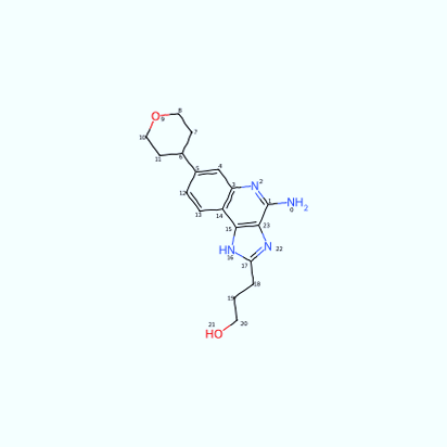 Nc1nc2cc(C3CCOCC3)ccc2c2[nH]c(CCCO)nc12